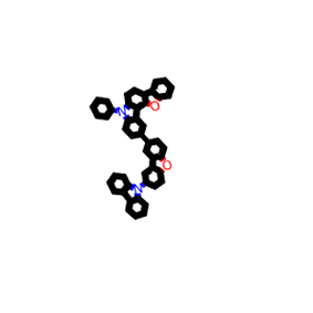 c1ccc(-n2c3ccc(-c4ccc5oc6ccc(-n7c8ccccc8c8ccccc87)cc6c5c4)cc3c3c4oc5ccccc5c4ccc32)cc1